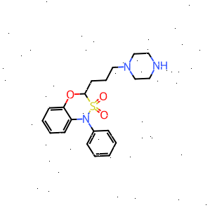 O=S1(=O)C(CCCN2CCNCC2)Oc2ccccc2N1c1ccccc1